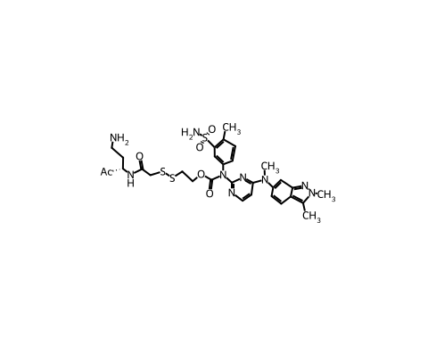 CC(=O)[C@H](CCN)NC(=O)CSSCCOC(=O)N(c1ccc(C)c(S(N)(=O)=O)c1)c1nccc(N(C)c2ccc3c(C)n(C)nc3c2)n1